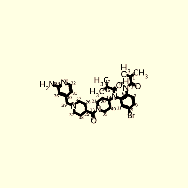 CC(C)C(=O)Nc1ccc(Br)cc1N(C(=O)C(C)C)C1CCN(C(=O)C2CCN(Cc3ccnc(N)c3)CC2)CC1